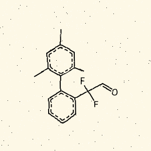 Cc1cc(C)c(-c2ccccc2C(F)(F)C=O)c(C)c1